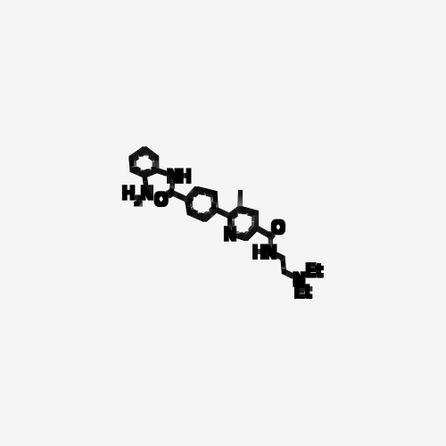 CCN(CC)CCNC(=O)c1cnc(-c2ccc(C(=O)Nc3ccccc3N)cc2)c(C)c1